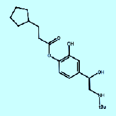 CC(C)(C)NCC(O)c1ccc(OC(=O)CCC2CCCC2)c(O)c1